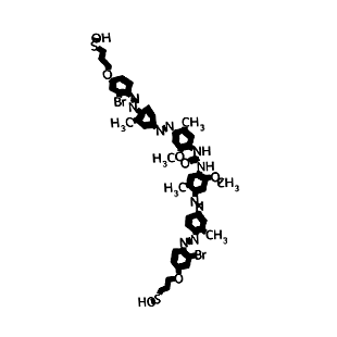 COc1cc(N=Nc2ccc(N=Nc3ccc(OCCCSO)cc3Br)c(C)c2)c(C)cc1NC(=O)Nc1cc(C)c(N=Nc2ccc(N=Nc3ccc(OCCCSO)cc3Br)c(C)c2)cc1OC